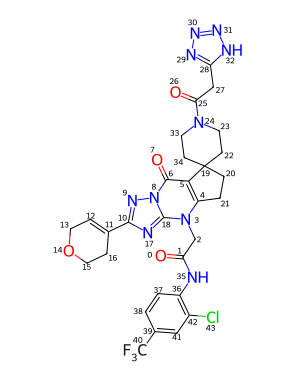 O=C(Cn1c2c(c(=O)n3nc(C4=CCOCC4)nc13)C1(CC2)CCN(C(=O)Cc2nnn[nH]2)CC1)Nc1ccc(C(F)(F)F)cc1Cl